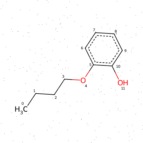 CCCCOc1cc[c]cc1O